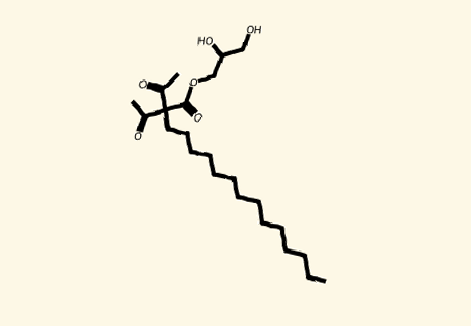 CCCCCCCCCCCCCCC(C(C)=O)(C(C)=O)C(=O)OCC(O)CO